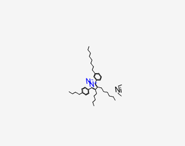 CCCCCCCCc1cccc(C2=C(CCCCCC)C(CCCCC)=C(c3ccc(CCCC)cc3)[N+]2=[N-])c1.C[CH2][Ni][CH2]C